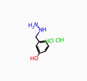 Cl.Cl.NNCc1cccc(O)c1